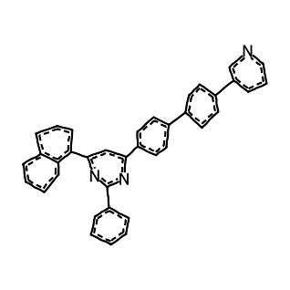 c1ccc(-c2nc(-c3ccc(-c4ccc(-c5cccnc5)cc4)cc3)cc(-c3cccc4ccccc34)n2)cc1